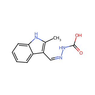 Cc1[nH]c2ccccc2c1/C=N\NC(=O)O